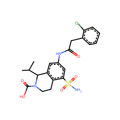 CC(C)C1c2cc(NC(=O)Cc3ccccc3Cl)cc(S(N)(=O)=O)c2CCN1C(=O)O